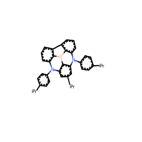 CC(C)c1ccc(N2c3cccc4c3B3c5c-4cccc5N(c4ccc(C(C)C)cc4)c4cc(C(C)C)cc2c43)cc1